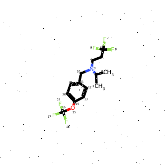 CC(C)N(CCC(F)(F)F)Cc1ccc(OC(F)(F)F)cc1